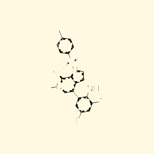 Cc1ccc(S(=O)(=O)n2ccc3c(-c4cc(F)cc(F)c4N)cn(C)c(=O)c32)cc1